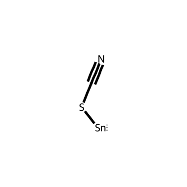 N#C[S][Sn]